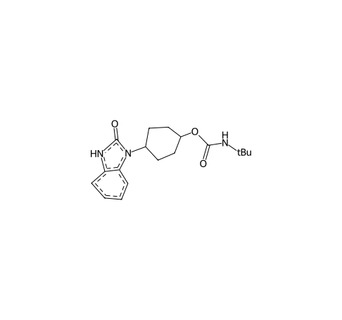 CC(C)(C)NC(=O)OC1CCC(n2c(=O)[nH]c3ccccc32)CC1